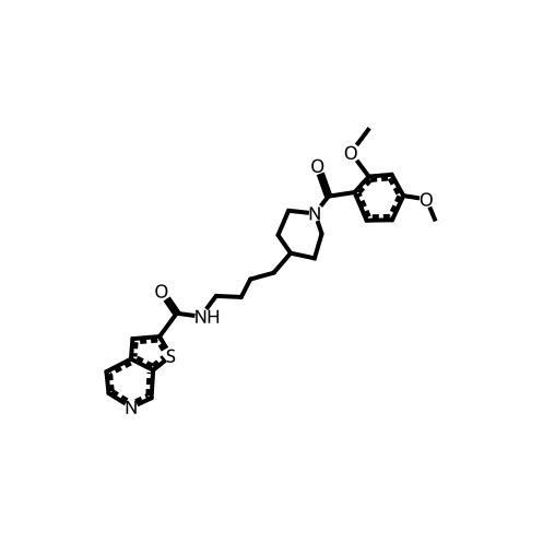 COc1ccc(C(=O)N2CCC(CCCCNC(=O)c3cc4ccncc4s3)CC2)c(OC)c1